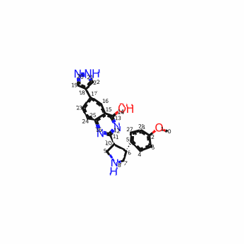 COc1ccc([C@@H]2CNC[C@H]2c2nc(O)c3cc(-c4cn[nH]c4)ccc3n2)cc1